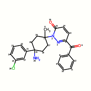 CC1(n2nc(C(=O)c3ccccc3)ccc2=O)CCC(N)(c2cccc(Cl)c2)CC1